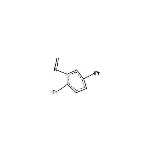 C=Nc1cc(C(C)C)ccc1C(C)C